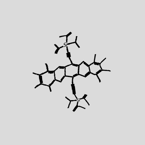 C=C(C)[Si](C#Cc1c2cc3c(C)c(C)c(C)c(C)c3cc2c(C#C[Si](C(=C)C)(C(=C)C)C(C)C)c2cc3c(C)c(C)c(C)c(C)c3cc12)(C(=C)C)C(C)C